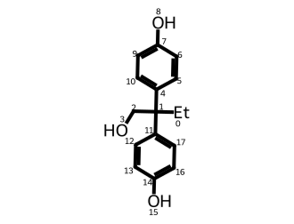 CCC(CO)(c1ccc(O)cc1)c1ccc(O)cc1